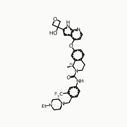 CCN1CCN(Cc2ccc(NC(=O)N3CCc4ccc(Oc5ccnc6[nH]c(C7(O)COC7)cc56)cc4[C@@H]3C)cc2C(F)(F)F)CC1